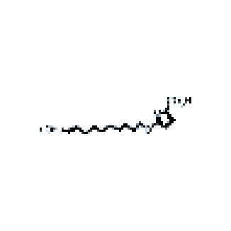 CCCCCCCC/C=C/CCCCCCCCOc1ccc(C(=O)O)o1